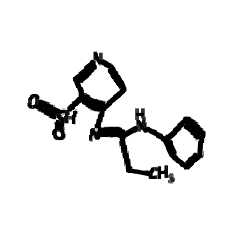 CC/C(=N/c1ccncc1[SH](=O)=O)Nc1ccccc1